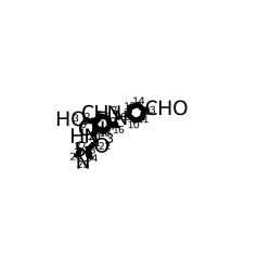 CC(C)(O)c1cc2nn([C@H]3CC[C@H](C=O)CC3)cc2cc1NC(=O)c1cncs1